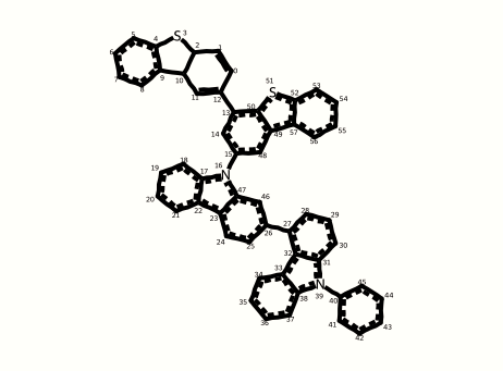 C1=CC2Sc3ccccc3C2C=C1c1cc(-n2c3ccccc3c3ccc(-c4cccc5c4c4ccccc4n5-c4ccccc4)cc32)cc2c1sc1ccccc12